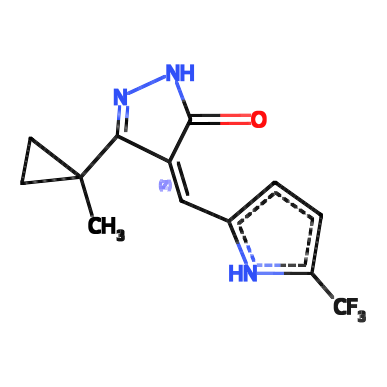 CC1(C2=NNC(=O)/C2=C\c2ccc(C(F)(F)F)[nH]2)CC1